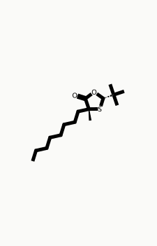 CCCCCCCC[C@@]1(C)S[C@@H](C(C)(C)C)OC1=O